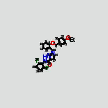 CCOc1ccc(COc2ccccc2Cn2ccc(C(=O)Nc3c(F)cccc3F)n2)cc1